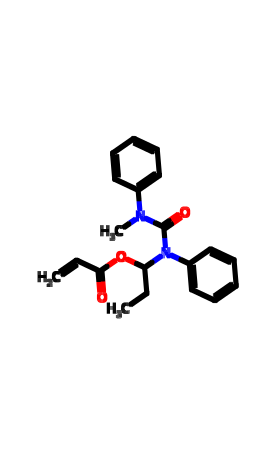 C=CC(=O)OC(CC)N(C(=O)N(C)c1ccccc1)c1ccccc1